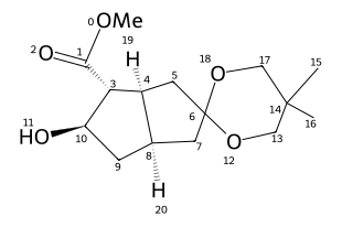 COC(=O)[C@@H]1[C@H]2CC3(C[C@H]2C[C@H]1O)OCC(C)(C)CO3